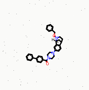 O=C(c1ccc(-c2ccccc2)cc1)N1CCN(c2ccc3c(c2)[C@H]2CC3CCN2OCc2ccccc2)CC1